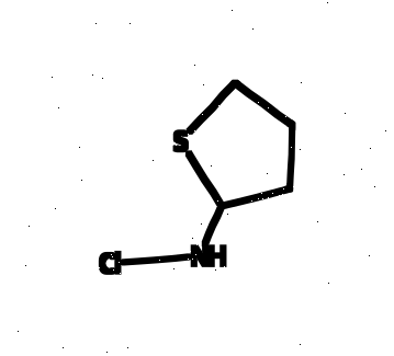 ClNC1CCCS1